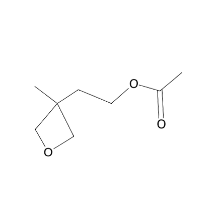 CC(=O)OCCC1(C)COC1